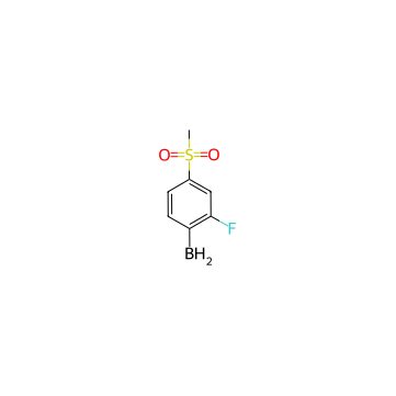 Bc1ccc(S(C)(=O)=O)cc1F